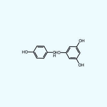 Oc1cc(O)cc(O)c1.Oc1ccc(O)cc1